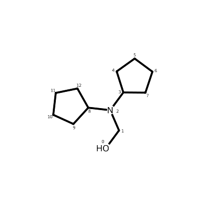 OCN(C1CCCC1)C1CCCC1